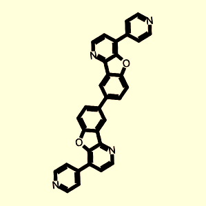 c1cc(-c2ccnc3c2oc2ccc(-c4ccc5oc6c(-c7ccncc7)ccnc6c5c4)cc23)ccn1